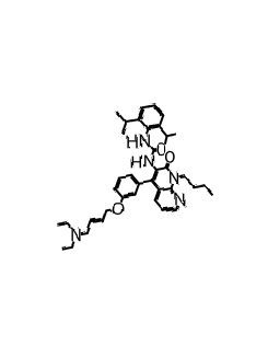 CCCCn1c(=O)c(NC(=O)Nc2c(C(C)C)cccc2C(C)C)c(-c2cccc(OCC=CCN(CC)CC)c2)c2cccnc21